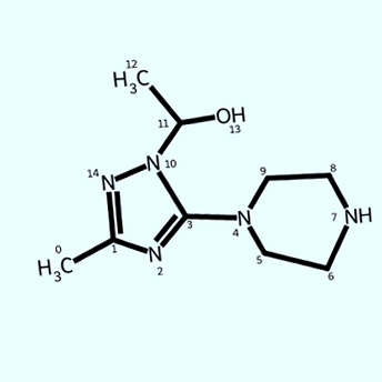 Cc1nc(N2CCNCC2)n(C(C)O)n1